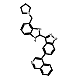 c1cc(CN2CCCC2)c2c(c1)NC(c1n[nH]c3ccc(-c4cncc5ccccc45)cc13)N2